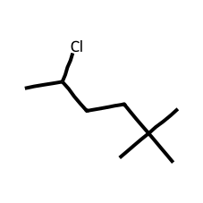 CC(Cl)CCC(C)(C)C